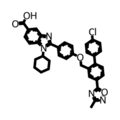 Cc1noc(-c2ccc(-c3ccc(Cl)cc3)c(COc3ccc(-c4nc5cc(C(=O)O)ccc5n4C4CCCCC4)cc3)c2)n1